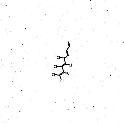 C=CC=CC(Cl)C(Cl)=C(Cl)C(Cl)=C(Cl)Cl